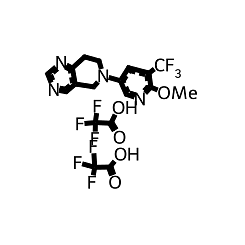 COc1ncc(N2CCc3ncncc3C2)cc1C(F)(F)F.O=C(O)C(F)(F)F.O=C(O)C(F)(F)F